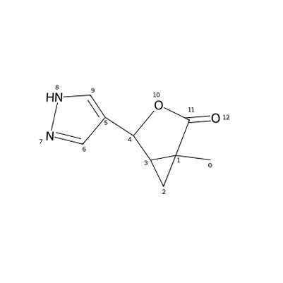 CC12CC1C(c1cn[nH]c1)OC2=O